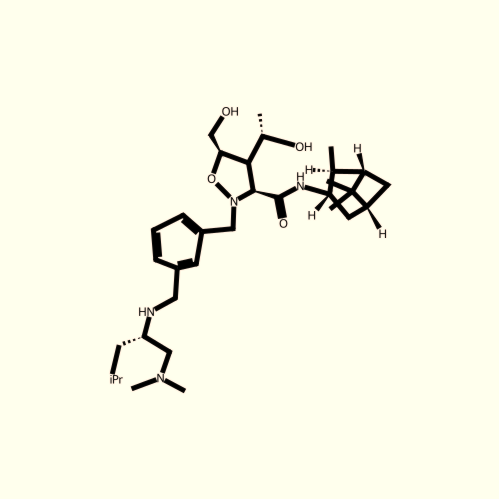 CC(C)C[C@@H](CN(C)C)NCc1cccc(CN2O[C@@H](CO)C([C@H](C)O)[C@H]2C(=O)N[C@H]2C[C@H]3C[C@@H]([C@@H]2C)C3(C)C)c1